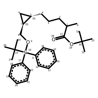 CC(CCC[C@H]1C[C@@H]1CO[Si](c1ccccc1)(c1ccccc1)C(C)(C)C)C(=O)OC(C)(C)C